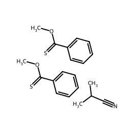 CC(C)C#N.COC(=S)c1ccccc1.COC(=S)c1ccccc1